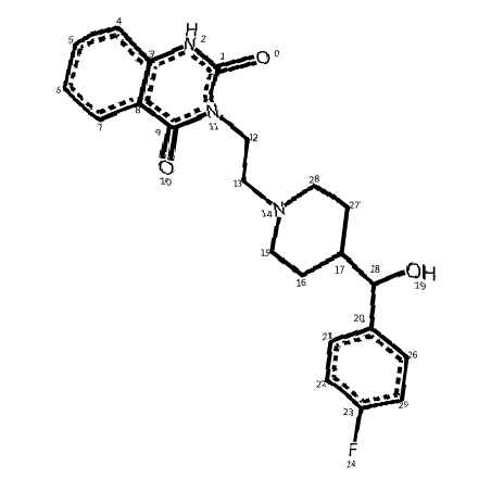 O=c1[nH]c2ccccc2c(=O)n1CCN1CCC(C(O)c2ccc(F)cc2)CC1